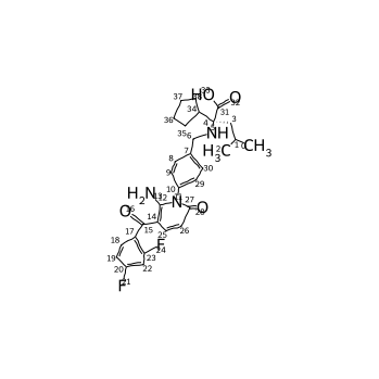 CC(C)C[C@@](NCc1ccc(-n2c(N)c(C(=O)c3ccc(F)cc3F)ccc2=O)cc1)(C(=O)O)C1CCCC1